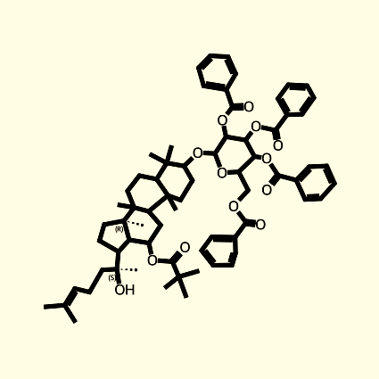 CC(C)=CCC[C@](C)(O)C1CC[C@]2(C)C1C(OC(=O)C(C)(C)C)CC1C3(C)CCC(OC4OC(COC(=O)c5ccccc5)C(OC(=O)c5ccccc5)C(OC(=O)c5ccccc5)C4OC(=O)c4ccccc4)C(C)(C)C3CCC12C